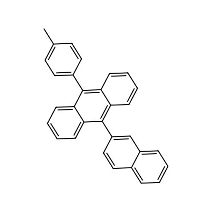 Cc1ccc(-c2c3ccccc3c(-c3ccc4ccccc4c3)c3ccccc23)cc1